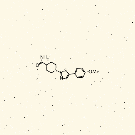 COc1ccc(-c2cnc(N3CCC(C(N)=O)CC3)s2)cc1